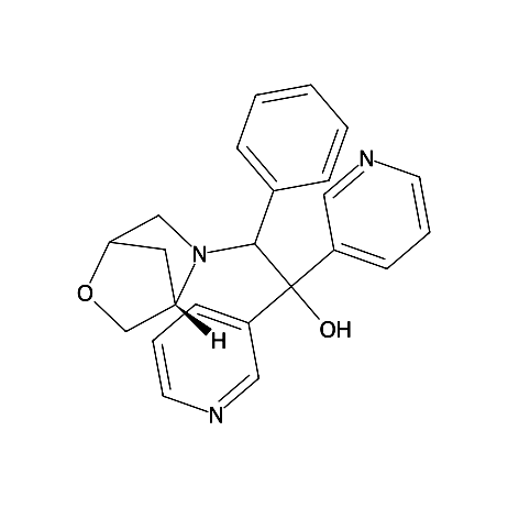 OC(c1cccnc1)(c1cccnc1)C(c1ccccc1)N1CC2C[C@H]1CO2